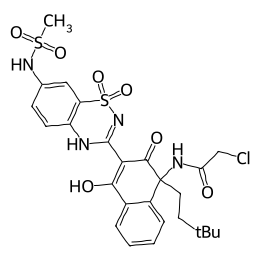 CC(C)(C)CCC1(NC(=O)CCl)C(=O)C(C2=NS(=O)(=O)c3cc(NS(C)(=O)=O)ccc3N2)=C(O)c2ccccc21